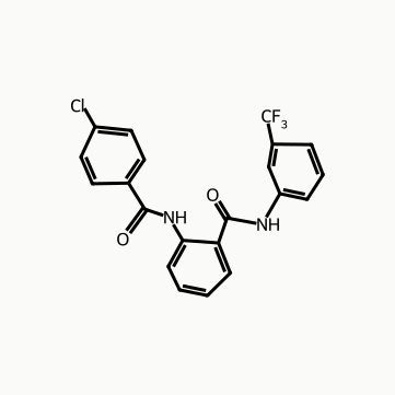 O=C(Nc1ccccc1C(=O)Nc1cccc(C(F)(F)F)c1)c1ccc(Cl)cc1